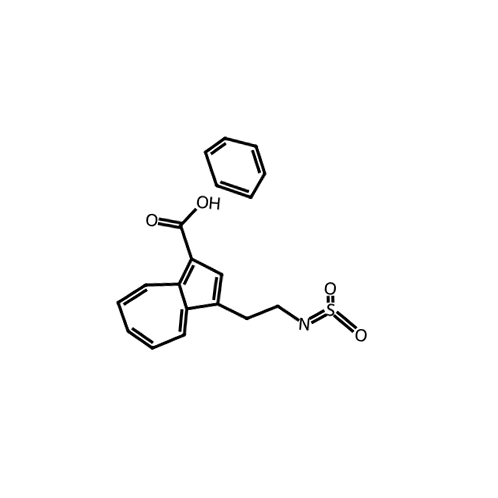 O=C(O)c1cc(CCN=S(=O)=O)c2cccccc1-2.c1ccccc1